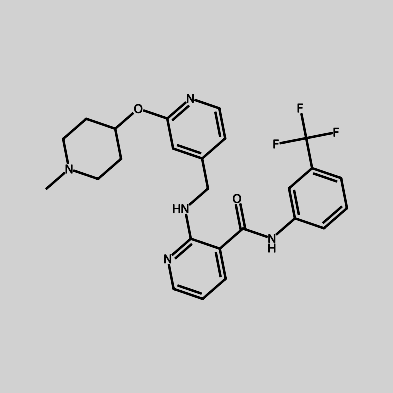 CN1CCC(Oc2cc(CNc3ncccc3C(=O)Nc3cccc(C(F)(F)F)c3)ccn2)CC1